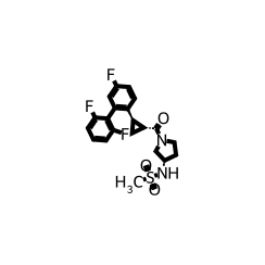 CS(=O)(=O)N[C@H]1CCN(C(=O)[C@@H]2C[C@H]2c2ccc(F)cc2-c2c(F)cccc2F)C1